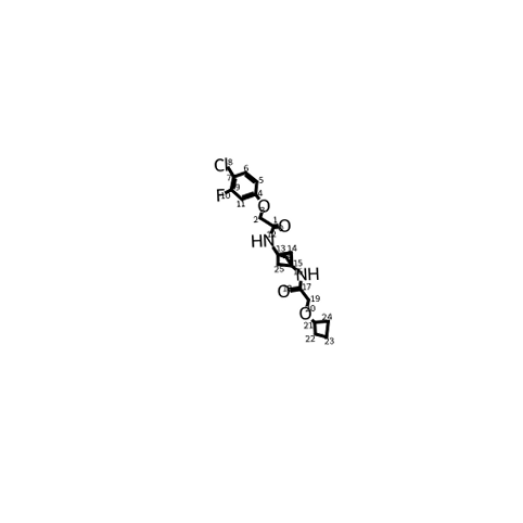 O=C(COc1ccc(Cl)c(F)c1)NC12CC(NC(=O)COC3CCC3)(C1)C2